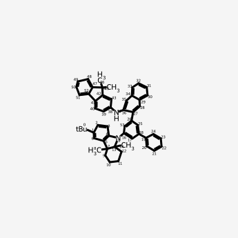 CC(C)(C)c1ccc2c(c1)C1(C)CCCCC1(C)N2c1cc(-c2ccccc2)cc(-c2cc3ccccc3cc2Nc2ccc3c(c2)C(C)(C)c2ccccc2-3)c1